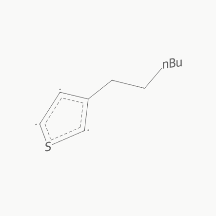 CCCCCCc1[c][c]s[c]1